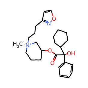 C[N@@+]1(CCCc2ccon2)CCCC(OC(=O)C(O)(c2ccccc2)C2CCCCC2)C1